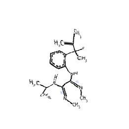 C/N=C(Nc1ccccc1C(C)(F)C(C)C)\C(=N/C)NC(C)C